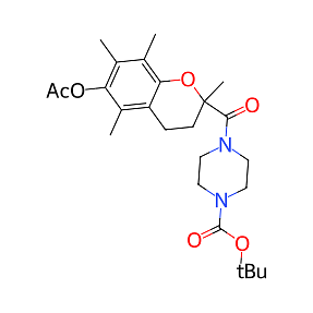 CC(=O)Oc1c(C)c(C)c2c(c1C)CCC(C)(C(=O)N1CCN(C(=O)OC(C)(C)C)CC1)O2